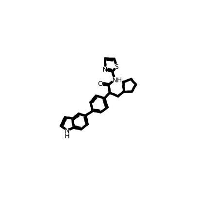 O=C(Nc1nccs1)C(CC1CCCC1)c1ccc(-c2ccc3[nH]ccc3c2)cc1